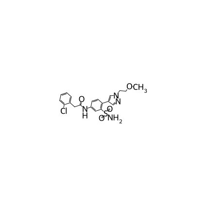 COCCn1cc(-c2ccc(NC(=O)Cc3ccccc3Cl)cc2S(N)(=O)=O)cn1